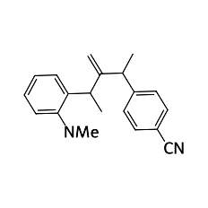 C=C(C(C)c1ccc(C#N)cc1)C(C)c1ccccc1NC